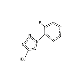 CCC(C)c1cn(-c2ccccc2F)nn1